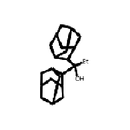 CCC(O)(C1C2CC3CC(C2)CC1C3)C1C2CC3CC(C2)CC1C3